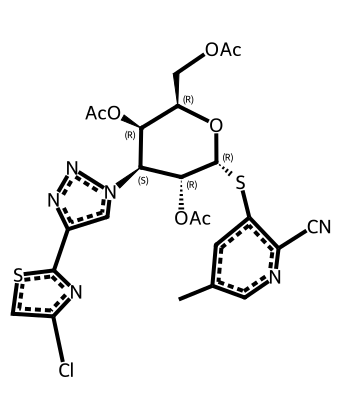 CC(=O)OC[C@H]1O[C@H](Sc2cc(C)cnc2C#N)[C@H](OC(C)=O)[C@@H](n2cc(-c3nc(Cl)cs3)nn2)[C@H]1OC(C)=O